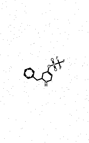 O=S(=O)(OC1=CCNC(Cc2ccccc2)C1)C(F)(F)F